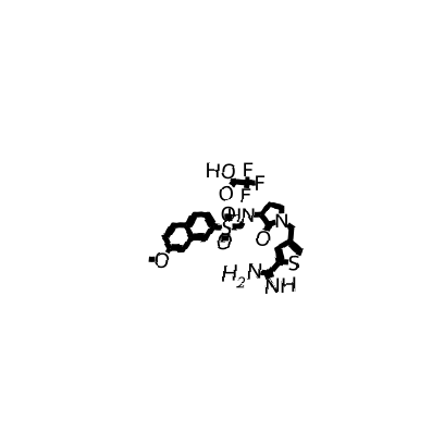 COc1ccc2ccc(S(=O)(=O)CNC3CCN(Cc4csc(C(=N)N)c4)C3=O)cc2c1.O=C(O)C(F)(F)F